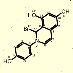 Oc1ccc(N2C=Cc3cc(O)cc(O)c3C2Br)cc1